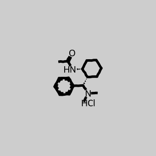 CC(=O)N[C@@H]1CCCC[C@@H]1C(c1ccccc1)N(C)C.Cl